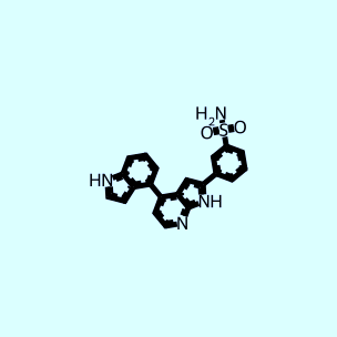 NS(=O)(=O)c1cccc(-c2cc3c(-c4cccc5[nH]ccc45)ccnc3[nH]2)c1